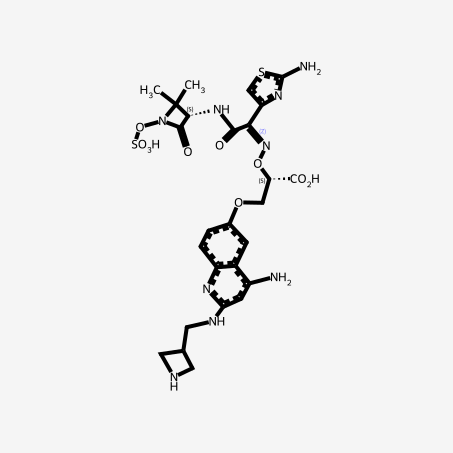 CC1(C)[C@H](NC(=O)/C(=N\O[C@@H](COc2ccc3nc(NCC4CNC4)cc(N)c3c2)C(=O)O)c2csc(N)n2)C(=O)N1OS(=O)(=O)O